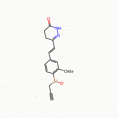 C#CC[S+]([O-])c1ccc(C=CC2=NNC(=O)CC2)cc1OC